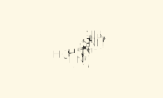 CC(C)[C@H](NC(=O)[C@H](Cc1ccc(O)cc1)NC(=O)[C@@H](N)Cc1ccccc1)C(=O)N[C@@H](C(N)=O)C(C)C